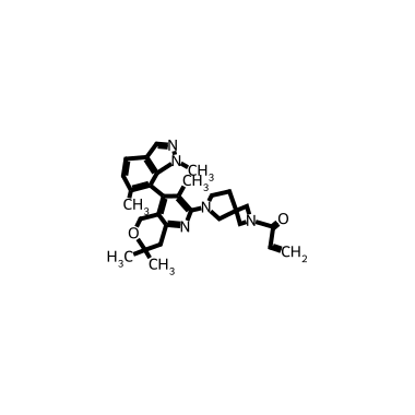 C=CC(=O)N1CC2(CCN(c3nc4c(c(-c5c(C)ccc6cnn(C)c56)c3C)COC(C)(C)C4)C2)C1